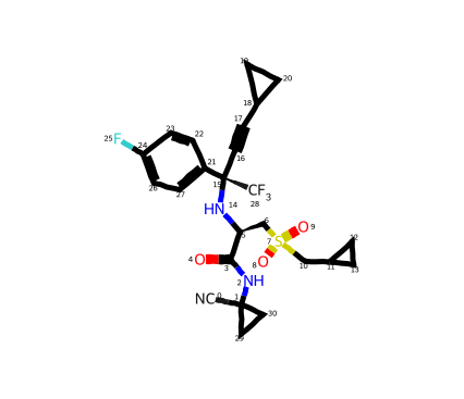 N#CC1(NC(=O)[C@H](CS(=O)(=O)CC2CC2)N[C@@](C#CC2CC2)(c2ccc(F)cc2)C(F)(F)F)CC1